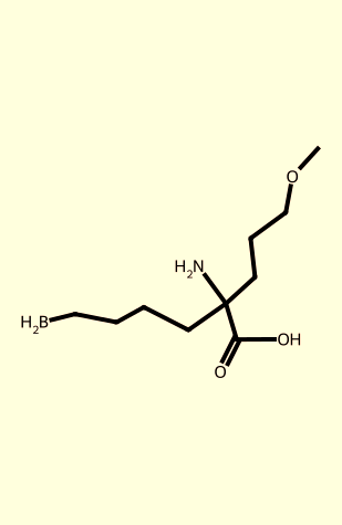 BCCCCC(N)(CCCOC)C(=O)O